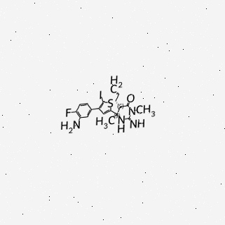 C=CC[C@@H]1C(=O)N(C)C(=N)N[C@]1(C)c1cc(-c2ccc(F)c(N)c2)c(I)s1